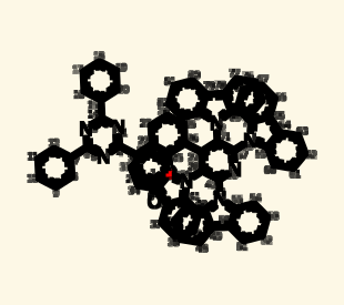 O=c1cc(-c2nc(-c3ccccc3)nc(-c3ccccc3)n2)c2cccc(-c3c(-n4c5ccccc5c5ccccc54)c(-n4c5ccccc5c5ccccc54)nc(-n4c5ccccc5c5ccccc54)c3-n3c4ccccc4c4ccccc43)c2o1